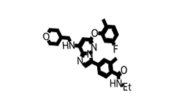 CCNC(=O)c1ccc(-c2cnc3c(NCC4CCOCC4)cc(Oc4cc(F)ccc4C)nn23)cc1C